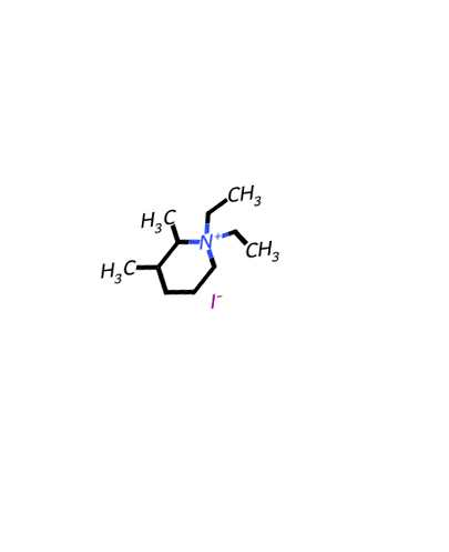 CC[N+]1(CC)CCCC(C)C1C.[I-]